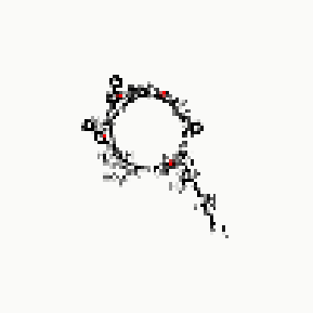 CC(C)[C@@H]1NC(=O)[C@H](Cc2ccccc2)NC(=O)CSC[C@@H](C(=O)NCC(=O)N[C@@H](CCCCNC(=O)[C@@H](N)CCCCN)C(N)=O)NC(=O)[C@@H]2CCCN2C(=O)CNC(=O)[C@H](CCC(=O)O)NC(=O)[C@H](C)N(C)C(=O)[C@H](Cc2ccc(-c3ccccc3)cc2)NC(=O)[C@H](C)N(C)C(=O)[C@H](Cc2ccc(-c3ccccc3)cc2)NC(=O)[C@H]([C@@H](C)O)NC(=O)[C@H]([C@@H](C)O)NC(=O)[C@@H]2CCCN2C1=O